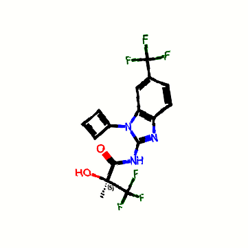 C[C@](O)(C(=O)Nc1nc2ccc(C(F)(F)F)cc2n1C1=CC=C1)C(F)(F)F